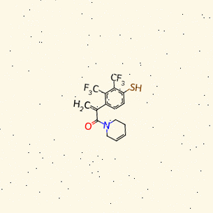 C=C(C(=O)N1CC=CCC1)c1ccc(S)c(C(F)(F)F)c1C(F)(F)F